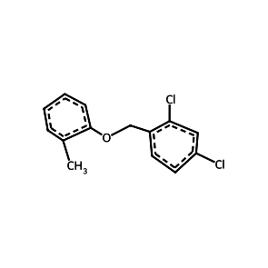 Cc1ccccc1OCc1ccc(Cl)cc1Cl